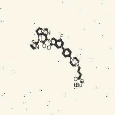 CC(C)(C)OC(=O)CCCN1CCN(c2ccc(-c3cc(F)c4c(c3)C(=O)N([C@@H](C(=O)Nc3nccs3)c3ncn5c3CCC5)C4)cc2)CC1